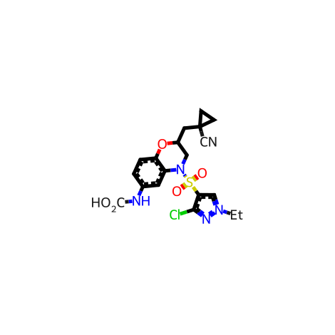 CCn1cc(S(=O)(=O)N2CC(CC3(C#N)CC3)Oc3ccc(NC(=O)O)cc32)c(Cl)n1